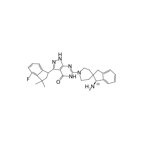 CC1(C)CC(c2n[nH]c3nc(N4CCC5(CC4)Cc4ccccc4[C@H]5N)[nH]c(=O)c23)c2cccc(F)c21